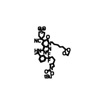 C[C@@H](Nc1ncnc2c1cc(C1(C#N)CCS(=O)(=O)CC1)c(=O)n2CCCCCC1OCCO1)c1cccc(C(F)(F)CCC2CN(C(=O)OC(C)(C)C)C2)c1